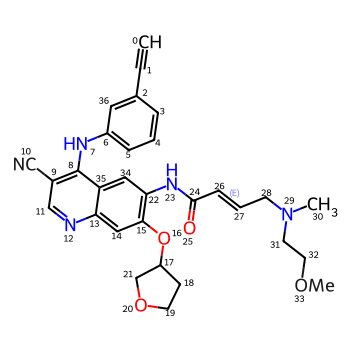 C#Cc1cccc(Nc2c(C#N)cnc3cc(OC4CCOC4)c(NC(=O)/C=C/CN(C)CCOC)cc23)c1